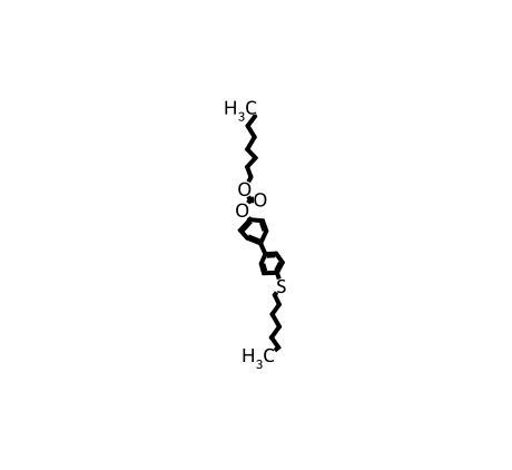 CCCCCCCCOC(=O)Oc1ccc(-c2ccc(SCCCCCCC)cc2)cc1